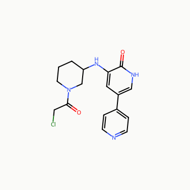 O=C(CCl)N1CCCC(Nc2cc(-c3ccncc3)c[nH]c2=O)C1